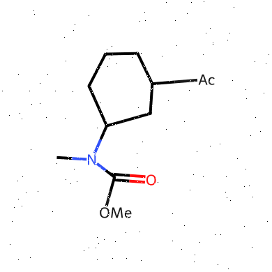 COC(=O)N(C)C1CCCC(C(C)=O)C1